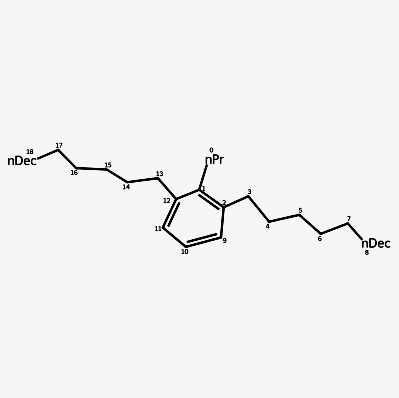 [CH2]CCc1c(CCCCCCCCCCCCCCC)cccc1CCCCCCCCCCCCCCC